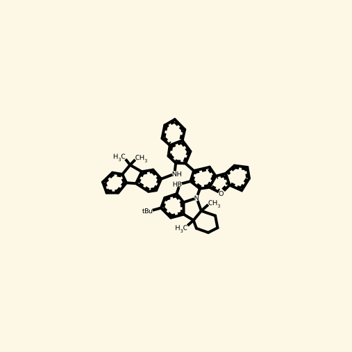 CC(C)(C)c1cc2c3c(c1)C1(C)CCCCC1(C)N3c1c(c(-c3cc4ccccc4cc3Nc3ccc4c(c3)C(C)(C)c3ccccc3-4)cc3c1oc1ccccc13)B2